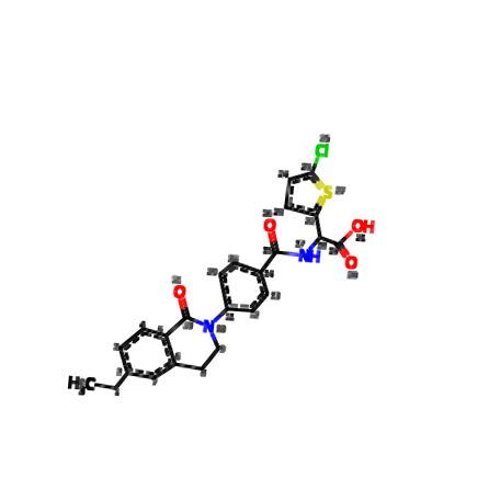 CCc1ccc2c(c1)CCN(c1ccc(C(=O)NC(C(=O)O)c3ccc(Cl)s3)cc1)C2=O